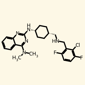 CN(C)c1nc(N[C@H]2CC[C@@H](CNCc3c(F)ccc(F)c3Cl)CC2)nc2ccccc12